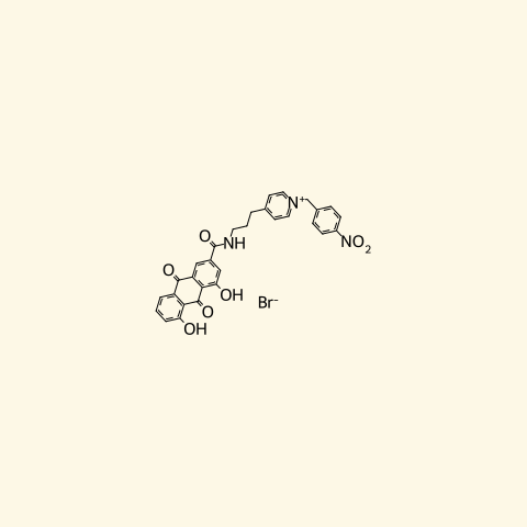 O=C(NCCCc1cc[n+](Cc2ccc([N+](=O)[O-])cc2)cc1)c1cc(O)c2c(c1)C(=O)c1cccc(O)c1C2=O.[Br-]